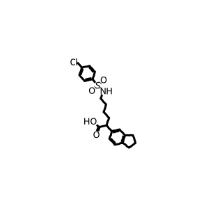 O=C(O)C(CCCCNS(=O)(=O)c1ccc(Cl)cc1)c1ccc2c(c1)CCC2